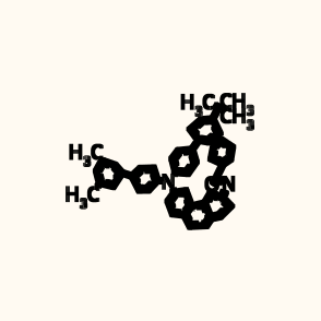 Cc1cc(C)cc(-c2ccc(N(c3ccc(-c4ccc(C(C)(C)C)cc4)cc3)c3ccc4ccc5ccc6nc(-c7ccccc7)oc6c5c4c3)cc2)c1